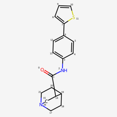 O=C(Nc1ccc(-c2cccs2)cc1)C1CN2CCC1CC2